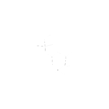 COC(C)(C)OC1CC(C)C(=O)C(C)(C)C1